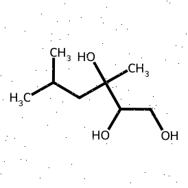 CC(C)CC(C)(O)C(O)CO